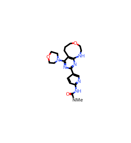 CNC(=O)Nc1ccc(-c2nc3c(c(N4CCOCC4)n2)CCCOCCN3)cn1